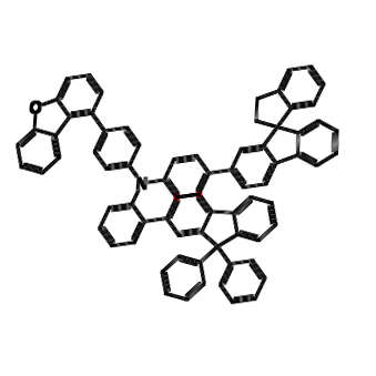 c1ccc(C2(c3ccccc3)c3ccccc3-c3ccc(-c4ccccc4N(c4ccc(-c5ccc6c(c5)C5(CCc7ccccc75)c5ccccc5-6)cc4)c4ccc(-c5cccc6oc7ccccc7c56)cc4)cc32)cc1